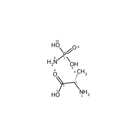 C[C@H](N)C(=O)O.NP(=O)(O)O